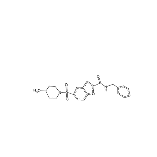 CC1CCN(S(=O)(=O)c2ccc3oc(C(=O)NCc4ccccc4)cc3c2)CC1